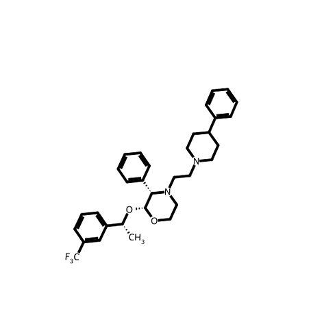 C[C@@H](O[C@H]1OCCN(CCN2CCC(c3ccccc3)CC2)[C@H]1c1ccccc1)c1cccc(C(F)(F)F)c1